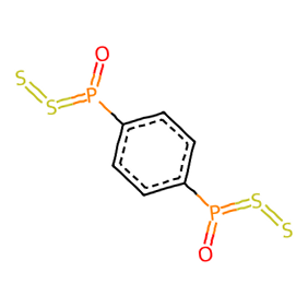 O=P(=S=S)c1ccc(P(=O)=S=S)cc1